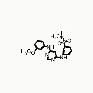 CNS(=O)(=O)c1cccc(Nc2cc(Nc3cccc(OC)c3)ncn2)c1